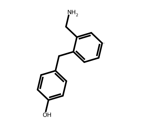 NCc1c[c]ccc1Cc1ccc(O)cc1